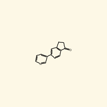 O=C1CCc2cc(-c3cccnc3)ccc21